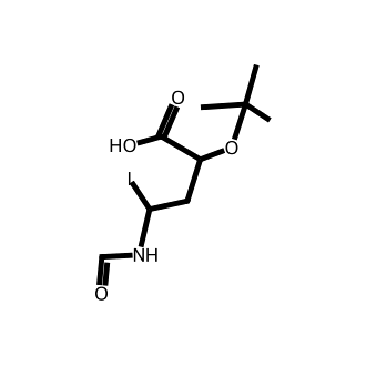 CC(C)(C)OC(CC(I)NC=O)C(=O)O